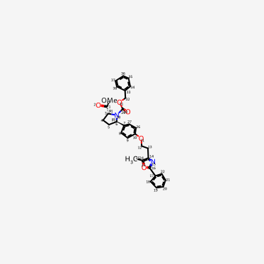 COC(=O)[C@H]1CC[C@H](c2ccc(OCCc3nc(-c4ccccc4)oc3C)cc2)N1C(=O)OCc1ccccc1